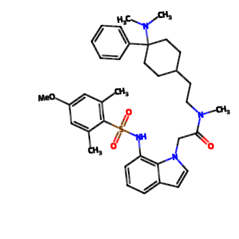 COc1cc(C)c(S(=O)(=O)Nc2cccc3ccn(CC(=O)N(C)CCC4CCC(c5ccccc5)(N(C)C)CC4)c23)c(C)c1